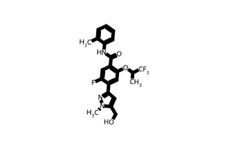 Cc1ccccc1NC(=O)c1cc(F)c(-c2cc(CO)n(C)n2)cc1OC(C)C(F)(F)F